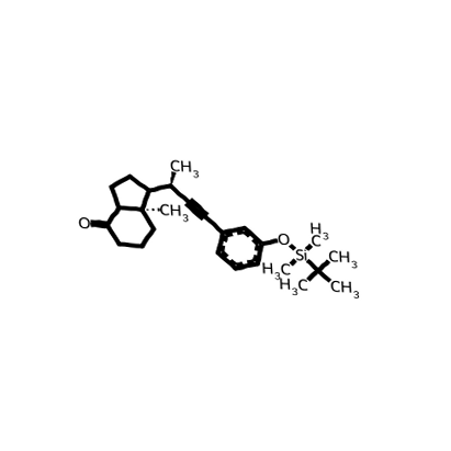 C[C@@H](C#Cc1cccc(O[Si](C)(C)C(C)(C)C)c1)C1CCC2C(=O)CCC[C@@]21C